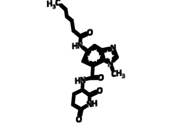 CCCCCC(=O)Nc1cc(C(=O)NC2CCC(=O)NC2=O)c2c(c1)ncn2C